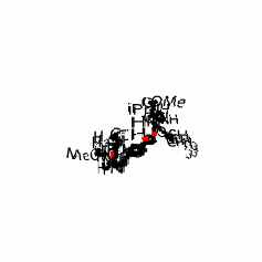 COC(=O)N[C@H](C(=O)N1CCNC[C@H]1C(=N)N(/C=C/c1ccc(-c2ccc(C3CN=C([C@@H]4CCCN4C(=O)[C@@H](NC(=O)OC)C(C)C)N3COCC[Si](C)(C)C)cc2)cc1)COCC[Si](C)(C)C)C(C)C